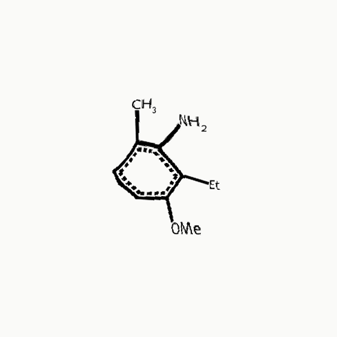 CCc1c(OC)ccc(C)c1N